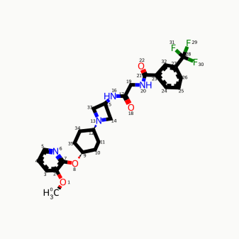 COc1cccnc1O[C@H]1CC[C@@H](N2CC(NC(=O)CNC(=O)c3cccc(C(F)(F)F)c3)C2)CC1